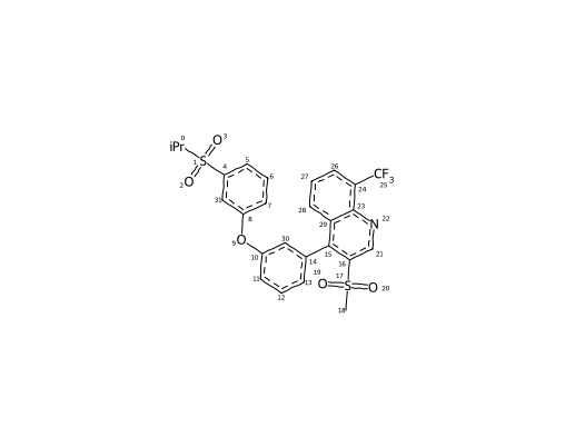 CC(C)S(=O)(=O)c1cccc(Oc2cccc(-c3c(S(C)(=O)=O)cnc4c(C(F)(F)F)cccc34)c2)c1